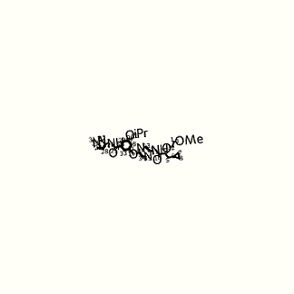 COCCOC(CC1CC1)C(=O)Nc1cnc(Oc2cc(OC(C)C)cc(C(=O)Nc3ccn(C)n3)c2)cn1